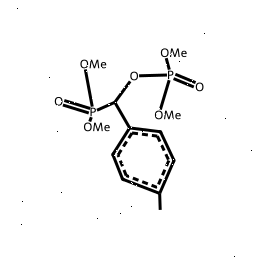 COP(=O)(OC)OC(c1ccc(C)cc1)P(=O)(OC)OC